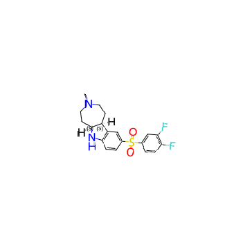 CN1CC[C@@H]2Nc3ccc(S(=O)(=O)c4ccc(F)c(F)c4)cc3[C@@H]2CC1